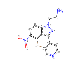 NCCn1nc2c3c(c([N+](=O)[O-])ccc31)Sc1cnccc1-2